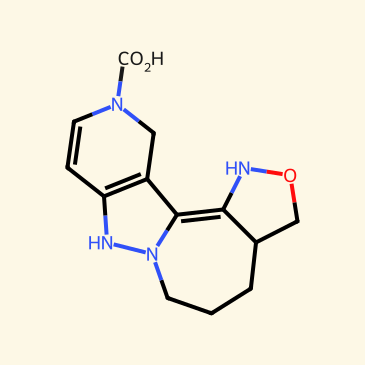 O=C(O)N1C=CC2=C(C1)C1=C3NOCC3CCCN1N2